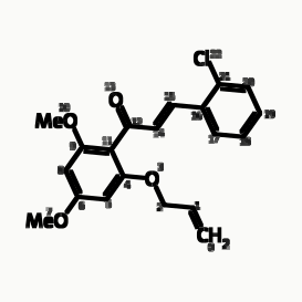 C=CCOc1cc(OC)cc(OC)c1C(=O)/C=C/c1ccccc1Cl